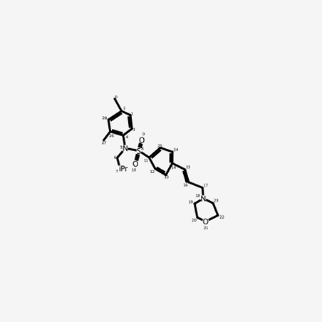 Cc1ccc(N(CC(C)C)S(=O)(=O)c2ccc(C=CCN3CCOCC3)cc2)c(C)c1